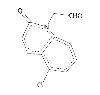 O=CCn1c(=O)ccc2c(Cl)cccc21